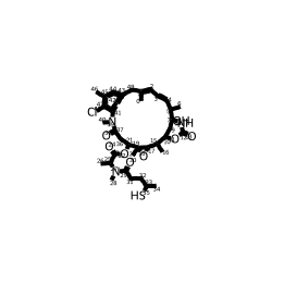 C/C1=C\C=C\C(C)C2(O)CC(OC(=O)N2)C(C)C2OC2(C)C(OC(=O)C(C)N(C)C(=O)CCC(C)S)CC(=O)N(C)c2cc(cc(C)c2Cl)C1